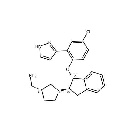 NC[C@H]1CCN([C@@H]2Cc3ccccc3[C@H]2Oc2ccc(Cl)cc2-c2cc[nH]n2)C1